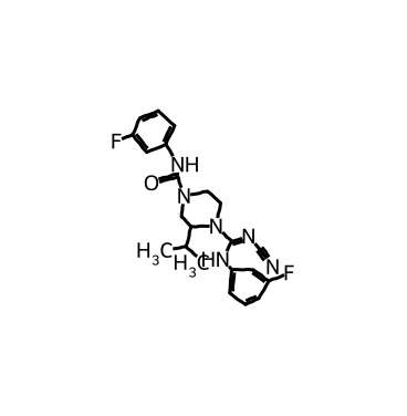 CC(C)C1CN(C(=O)Nc2cccc(F)c2)CCN1/C(=N/C#N)Nc1cccc(F)c1